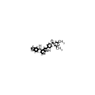 C[C@@H]1CN(C(=O)N2CC=C(c3cc4c(Nc5ccc6ncsc6c5)ccnc4[nH]3)CC2)C[C@H](C)O1